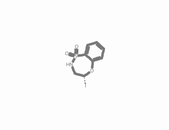 O=S1(=O)NC[C@@H](I)Oc2ccccc21